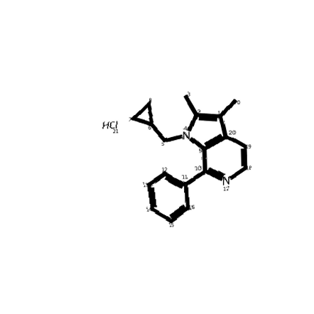 Cc1c(C)n(CC2CC2)c2c(-c3ccccc3)nccc12.Cl